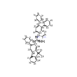 C/C=C\C(=N/C(=N)n1c2ccccc2c2cc3c(cc21)C(C)(C)c1ccccc1-3)c1ccc2c3ccccc3c3ccccc3c2c1